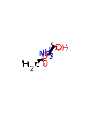 C=CC(=O)OCCO.N